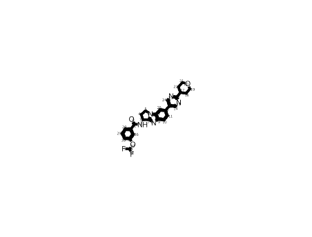 O=C(N[C@@H]1CCn2c1nc1ccc(-c3cnc(C4CCOCC4)nc3)cc12)c1cccc(OC(F)F)c1